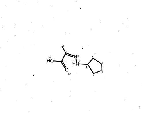 CC(=NNC1CCCC1)C(=O)O